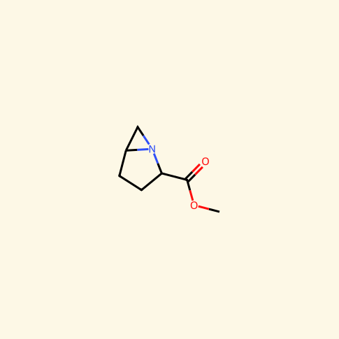 COC(=O)C1CCC2CN21